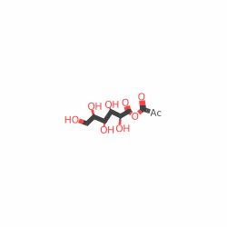 CC(=O)C(=O)OC(=O)[C@@H](O)[C@@H](O)[C@H](O)[C@H](O)CO